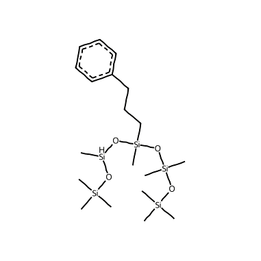 C[SiH](O[Si](C)(C)C)O[Si](C)(CCCc1ccccc1)O[Si](C)(C)O[Si](C)(C)C